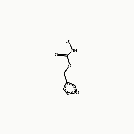 CCNC(=O)OCc1ccoc1